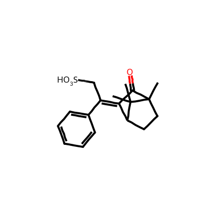 CC12CCC(C(=C(CS(=O)(=O)O)c3ccccc3)C1=O)C2(C)C